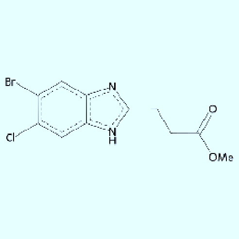 COC(=O)CCc1nc2cc(Br)c(Cl)cc2[nH]1